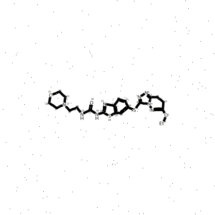 CCOC1=Nn2c(nnc2Sc2ccc3nc(NC(=O)NCCN4CCOCC4)sc3c2)CC1